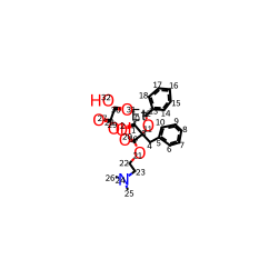 CCC(=O)C(Cc1ccccc1)(OCc1ccccc1)C(=O)OCCN(C)C.O=C(O)C(=O)O